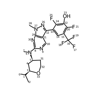 CC(C)[C@H]1C[C@@H](N(C)c2ncc3c(-c4cc(C(F)(F)F)c(F)c(O)c4F)nn(C)c3n2)CCO1